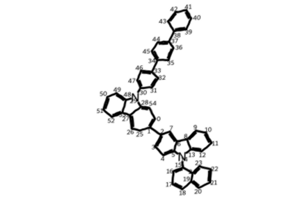 C1=C(c2ccc3c(c2)c2ccccc2n3-c2cccc3ccccc23)CC=c2c(n(-c3ccc(-c4ccc(-c5ccccc5)cc4)cc3)c3ccccc23)=C1